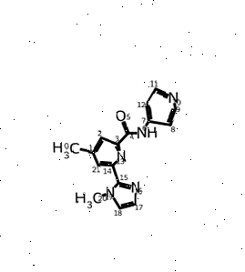 Cc1cc(C(=O)Nc2ccncc2)nc(-c2nccn2C)c1